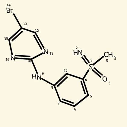 CS(=N)(=O)c1cccc(Nc2ncc(Br)cn2)c1